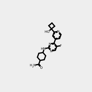 NC(=O)C1CCC(Nc2ncc(F)c(-c3ccnc(C4(O)CCC4)c3)n2)CC1